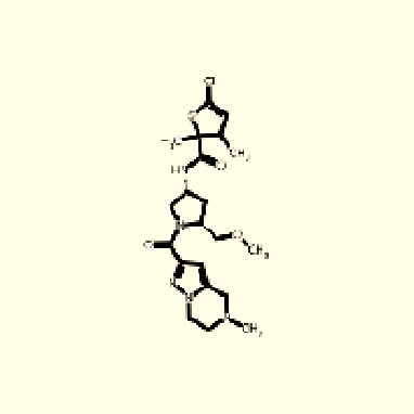 COC[C@@H]1C[C@@H](NC(=O)C2(C)SC(Cl)=CC2C)CN1C(=O)c1cc2n(n1)CCN(C)C2